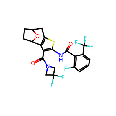 O=C(Nc1sc2c(c1C(=O)N1CC(F)(F)C1)C1CCC(C2)O1)c1c(F)cccc1C(F)(F)F